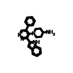 NC1CCN(c2c(-c3ccccc3)cnnc2-c2cc3ccccc3[nH]2)CC1